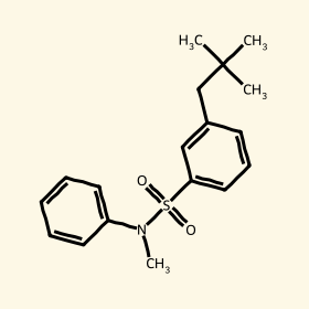 CN(c1ccccc1)S(=O)(=O)c1cccc(CC(C)(C)C)c1